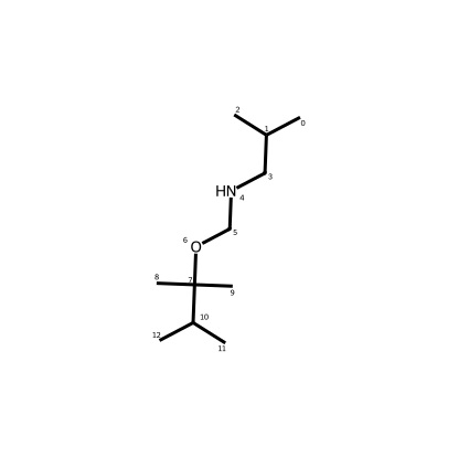 CC(C)CNCOC(C)(C)C(C)C